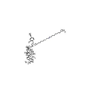 CCCCCCCC/C=C/CCCCCCCCOC[C@H](COP(=O)(O)OC1[C@H]2O[C@@](C)(c3ccc4c(N)ncnn34)[C@H](O)[C@@]12O)OCc1ccc(C#N)cc1F